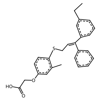 CCc1cccc(C(=CCSc2ccc(OCC(=O)O)cc2C)c2ccccc2)c1